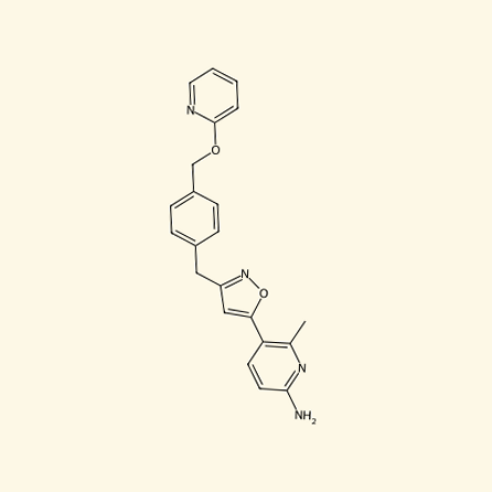 Cc1nc(N)ccc1-c1cc(Cc2ccc(COc3ccccn3)cc2)no1